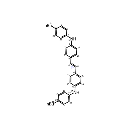 CCCCc1ccc(Nc2ccc(/C=C/c3ccc(Nc4ccc(CCCC)cc4)cc3)cc2)cc1